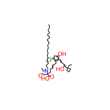 CCCCCCCCCCCCCCCCCCN(CC)C(CC=O)(CCC=CC[C@@H]1[C@@H](C=CC[C@H](O)C2(CC)CCC2)[C@H](O)C[C@H]1Cl)C(=O)O